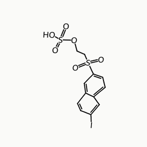 O=S(=O)(O)OCCS(=O)(=O)c1ccc2cc(I)ccc2c1